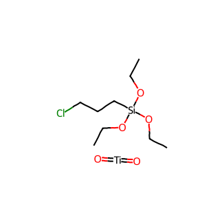 CCO[Si](CCCCl)(OCC)OCC.[O]=[Ti]=[O]